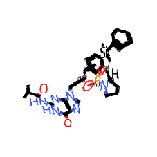 CC[C@H](Cn1cnc2c(=O)[nH]c(NC(=O)C(C)C)nc21)O[P@@]1O[C@H](C[Si](C)(c2ccccc2)c2ccccc2)[C@@H]2CCCN21